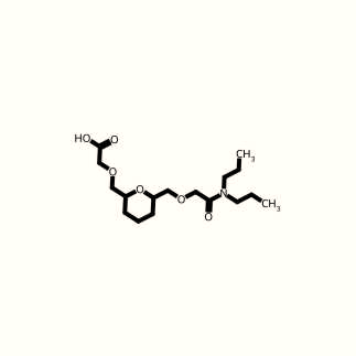 CCCN(CCC)C(=O)COCC1CCCC(COCC(=O)O)O1